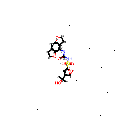 CC(C)(O)c1coc(S(=O)(=O)NC(=O)Nc2c3c(cc4c2OCC4)OCC3)c1